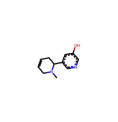 CN1CC=[C]CC1c1cncc(O)c1